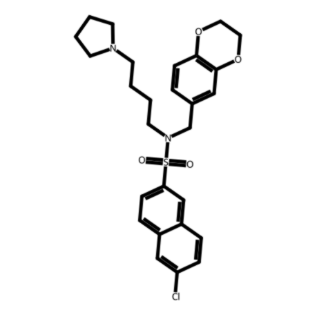 O=S(=O)(c1ccc2cc(Cl)ccc2c1)N(CCCCN1CCCC1)Cc1ccc2c(c1)OCCO2